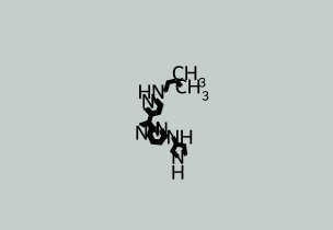 CC(C)CCNc1ccc(-c2cnc3ccc(NC4CCNC4)nn23)cn1